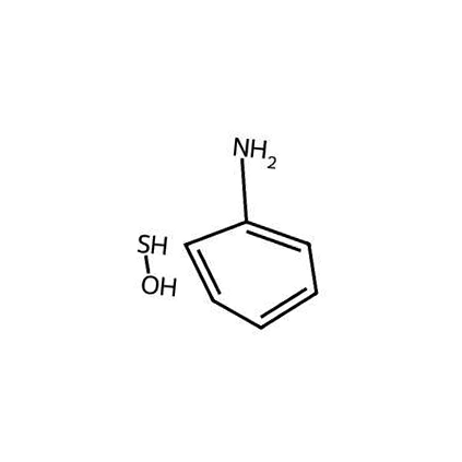 Nc1ccccc1.OS